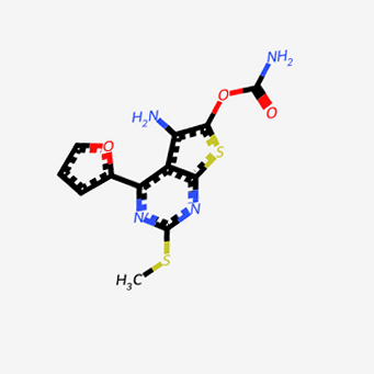 CSc1nc(-c2ccco2)c2c(N)c(OC(N)=O)sc2n1